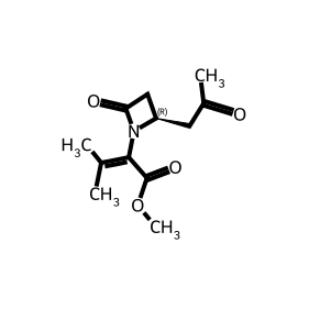 COC(=O)C(=C(C)C)N1C(=O)C[C@H]1CC(C)=O